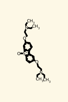 CCN(CC)CCOc1ccc2c(c1)c1ccc(OCCN(CC)CC)cc1[s+]2[O-]